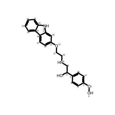 OOc1ccc(C(O)CNCCOc2ccc3c(c2)[nH]c2ccccc23)cc1